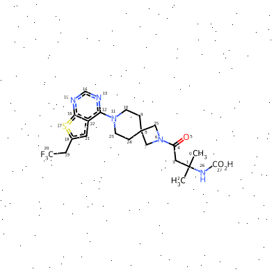 CC(C)(CC(=O)N1CC2(CCN(c3ncnc4sc(CC(F)(F)F)cc34)CC2)C1)NC(=O)O